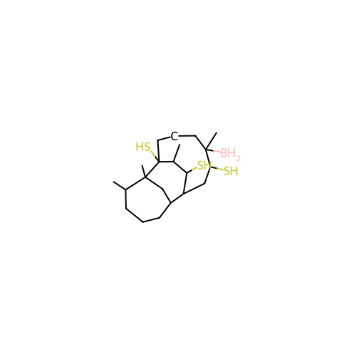 BC1(C)CCCC2(S)C(C)C(S)C(CC1S)C1CCCC(C)C2(C)C1